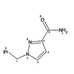 CC(C)Cn1ccc(C(N)=O)n1